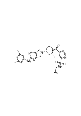 CC(=O)CNS(=O)(=O)c1cc(C(=O)N2CC[C@@H](N3Cc4cnc(Nc5cc(C)cc(C)c5)nc4C3)C[C@H]2C)ccn1